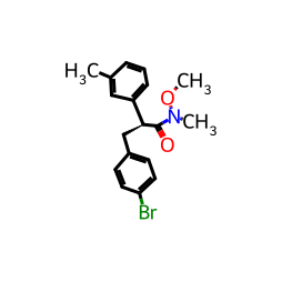 CON(C)C(=O)[C@@H](Cc1ccc(Br)cc1)c1cccc(C)c1